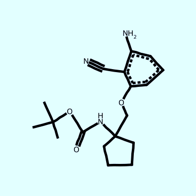 CC(C)(C)OC(=O)NC1(COc2cccc(N)c2C#N)CCCC1